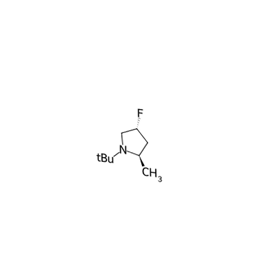 C[C@@H]1C[C@@H](F)CN1C(C)(C)C